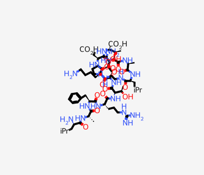 CC(C)C[C@H](NC(=O)[C@H](C)NC(=O)[C@H](C)NC(=O)[C@@H]1CCCN1C(=O)[C@H](CCCCN)NC(=O)[C@@H](NC(=O)[C@H](CCCNC(=N)N)NC(=O)[C@H](Cc1ccccc1)NC(=O)[C@H](C)NC(=O)[C@@H](N)CC(C)C)[C@@H](C)O)C(=O)NCC(=O)N[C@@H](CCCCN)C(=O)N[C@@H](CC(=O)O)C(=O)N[C@H](C(=O)O)[C@@H](C)O